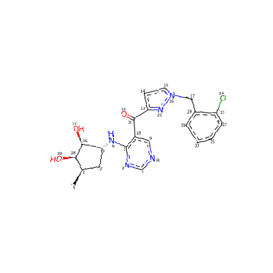 [CH2][C@@H]1C[C@@H](Nc2ncncc2C(=O)c2ccn(Cc3ccccc3Cl)n2)[C@H](O)[C@@H]1O